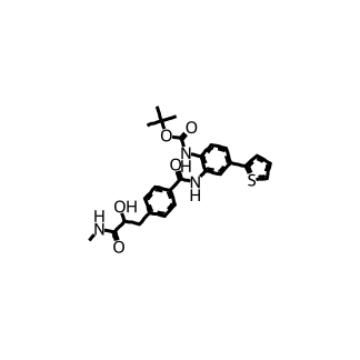 CNC(=O)C(O)Cc1ccc(C(=O)Nc2cc(-c3cccs3)ccc2NC(=O)OC(C)(C)C)cc1